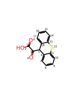 O=C(O)C(=O)C1c2ccccc2Sc2ccccc21